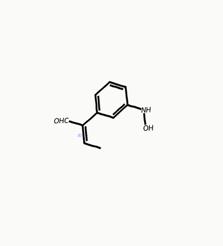 C/C=C(/C=O)c1cccc(NO)c1